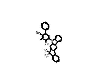 CC1(C)c2ccccc2-c2cc3c4ccccc4n(-c4cc(-c5ccccc5)c(C#N)c(F)c4C#N)c3cc21